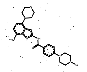 COc1ccc(N2CCOCC2)c2sc(NC(=O)c3ccc(N4CCN(C(C)=O)CC4)nc3)nc12